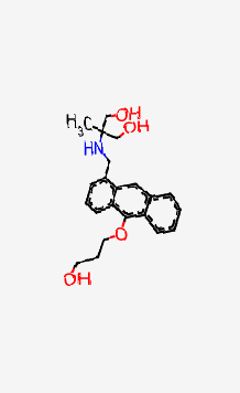 CC(CO)(CO)NCc1cccc2c(OCCCO)c3ccccc3cc12